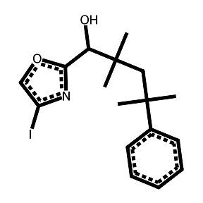 CC(C)(CC(C)(C)C(O)c1nc(I)co1)c1ccccc1